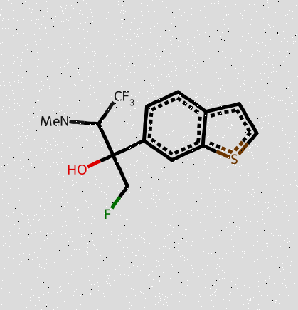 CNC(C(F)(F)F)C(O)(CF)c1ccc2ccsc2c1